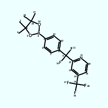 CC1(C)OB(c2ccc(C(F)(F)c3cc(C(F)(F)F)ccn3)cc2)OC1(C)C